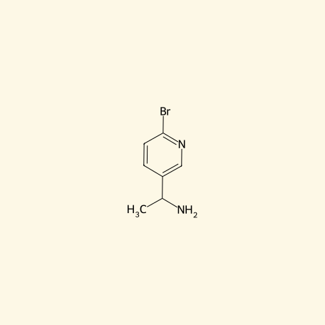 CC(N)c1ccc(Br)nc1